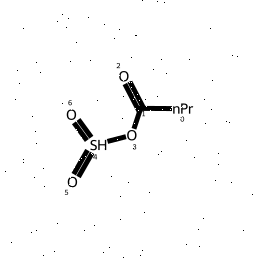 CCCC(=O)O[SH](=O)=O